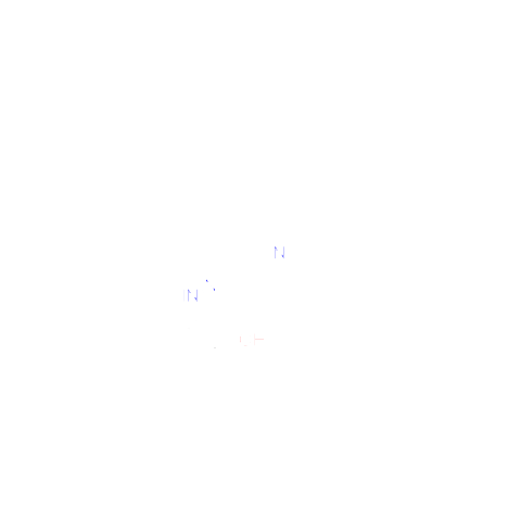 CCCCC1CCN(CCCc2n[nH]c3cccc(O)c23)CC1